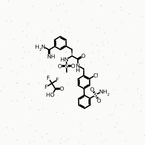 CS(=O)(=O)N[C@@H](Cc1cccc(C(=N)N)c1)C(=O)NCc1ccc(-c2ccccc2S(N)(=O)=O)cc1Cl.O=C(O)C(F)(F)F